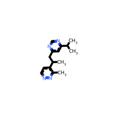 Cc1nnccc1C(C)Cc1cc(C(C)C)ncn1